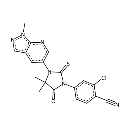 Cn1ncc2cc(N3C(=S)N(c4ccc(C#N)c(Cl)c4)C(=O)C3(C)C)cnc21